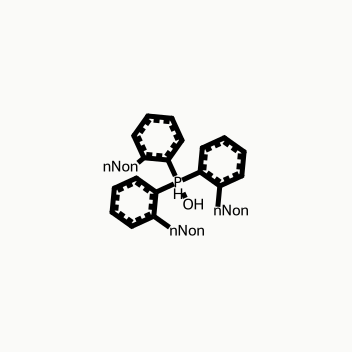 CCCCCCCCCc1ccccc1[PH](O)(c1ccccc1CCCCCCCCC)c1ccccc1CCCCCCCCC